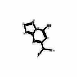 Oc1cc(C(F)F)nc2ncnn12